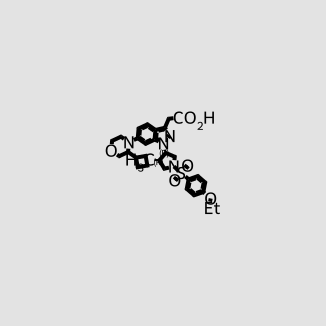 CCOc1ccc(S(=O)(=O)N2C[C@@H](C)[C@@H](n3nc(CC(=O)O)c4ccc(N5CCOCC5C5CCC5)cc43)C2)cc1